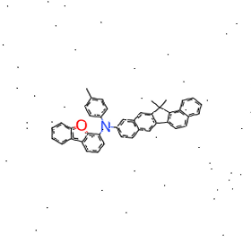 Cc1ccc(N(c2ccc3cc4c(cc3c2)C(C)(C)c2c-4ccc3ccccc23)c2cccc3c2oc2ccccc23)cc1